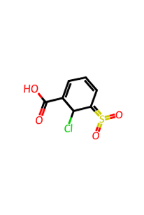 O=C(O)C1=CC=CC(=S(=O)=O)C1Cl